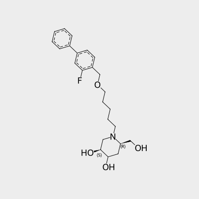 OC[C@H]1CC(O)[C@@H](O)CN1CCCCCOCc1ccc(-c2ccccc2)cc1F